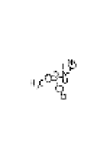 Cc1ccc2oc(C(=O)NCc3cccnc3)c(-c3ccc(Cl)cc3)c2c1